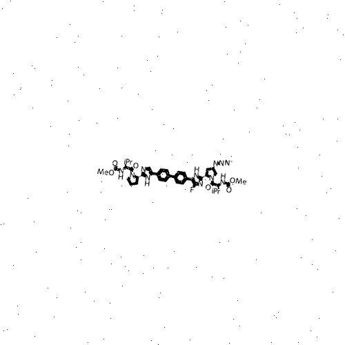 COC(=O)N[C@H](C(=O)N1CCC[C@H]1c1ncc(-c2ccc(-c3ccc(-c4[nH]c([C@@H]5C[C@H](N=[N+]=[N-])CN5C(=O)[C@@H](NC(=O)OC)C(C)C)nc4F)cc3)cc2)[nH]1)C(C)C